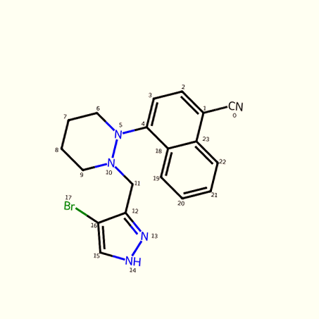 N#Cc1ccc(N2CCCCN2Cc2n[nH]cc2Br)c2ccccc12